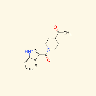 CC(=O)C1CCN(C(=O)c2c[nH]c3ccccc23)CC1